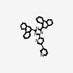 c1cncc(-c2ccc(-c3nc(-c4cc5ccccc5c5ccccc45)nc(-c4cc5ccccc5c5ccccc45)n3)nc2)c1